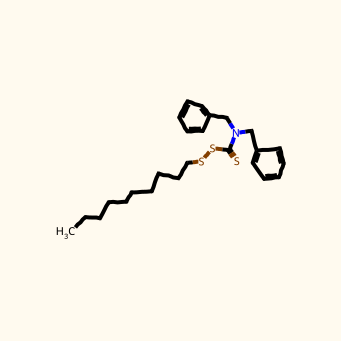 CCCCCCCCCCSSC(=S)N(Cc1ccccc1)Cc1ccccc1